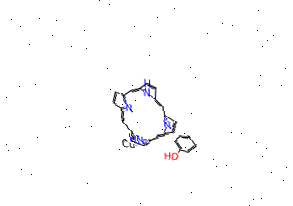 C1=Cc2cc3ccc(cc4nc(cc5ccc(cc1n2)[nH]5)C=C4)[nH]3.Oc1ccccc1.[Cu]